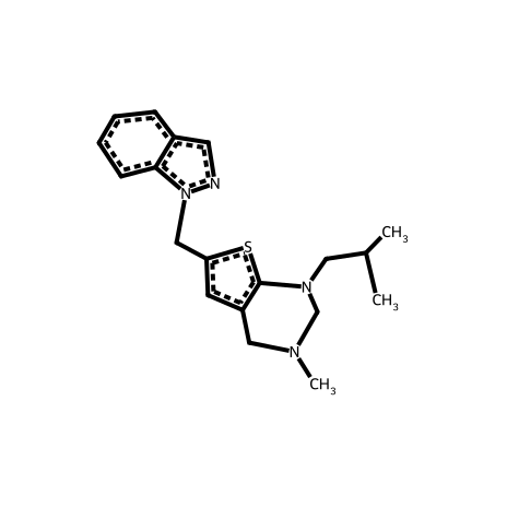 CC(C)CN1CN(C)Cc2cc(Cn3ncc4ccccc43)sc21